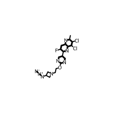 Cc1nc2cc(F)c(-c3cnc(OCCN4CC(N=[N+]=[N-])C4)nc3)nc2c(Cl)c1Cl